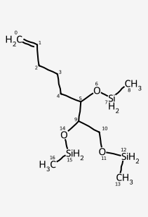 C=CCCCC(O[SiH2]C)C(CO[SiH2]C)O[SiH2]C